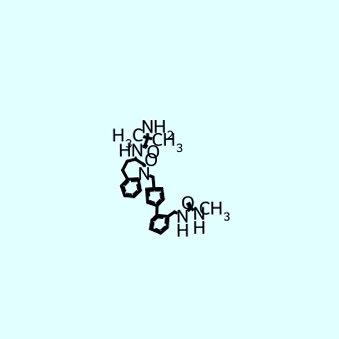 CNC(=O)NCc1ccccc1-c1ccc(CN2C(=O)[C@H](NC(=O)C(C)(C)N)CCc3ccccc32)cc1